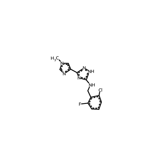 Cn1cnc(-c2n[nH]c(NCc3c(F)cccc3Cl)n2)c1